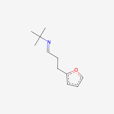 CC(C)(C)N=CCCc1ccco1